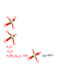 O.O.O.O.O.O.O=S(=O)([O-])[O-].O=S(=O)([O-])[O-].O=S(=O)([O-])[O-].[Fe+3].[Fe+3]